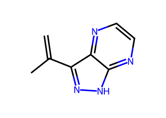 C=C(C)c1n[nH]c2nccnc12